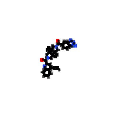 Cc1cc(C(=O)N2C[C@@H]3[C@H]4CN(C(=O)c5ccc6[nH]nnc6c5)C[C@H]4[C@@H]3C2)nc2ccccc12